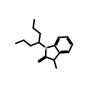 C=C1C(C)c2ccccc2N1C(CCC)CCC